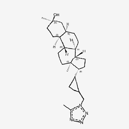 Cc1nnnn1CC1CC1[C@H]1CC[C@H]2[C@@H]3CC[C@@H]4C[C@](C)(O)CC[C@@H]4[C@H]3CC[C@]12C